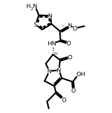 CCC(=O)C1=C(C(=O)O)N2C(=O)[C@@H](NC(=O)/C(=N\OC)c3csc(N)n3)CN2C1